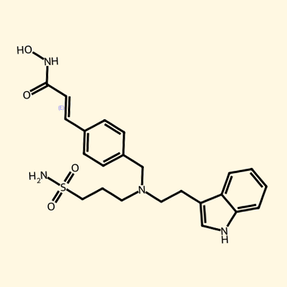 NS(=O)(=O)CCCN(CCc1c[nH]c2ccccc12)Cc1ccc(/C=C/C(=O)NO)cc1